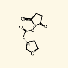 O=C(C[C@@H]1CCOC1)ON1C(=O)CCC1=O